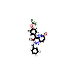 O=c1ccc2nn(Cc3ccccc3)c(=O)c(-c3ccc(OC(F)F)cc3)c2[nH]1